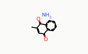 CC1=CC(=O)c2ccccc2C1=O.N